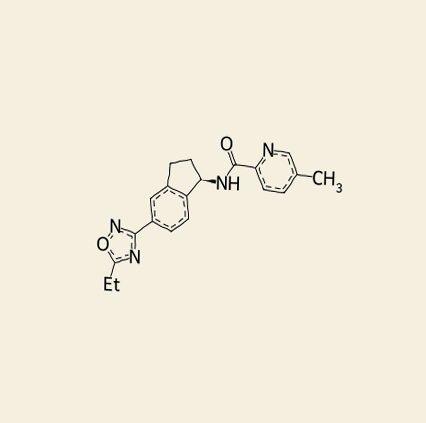 CCc1nc(-c2ccc3c(c2)CC[C@H]3NC(=O)c2ccc(C)cn2)no1